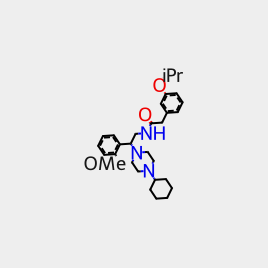 COc1ccccc1C(CNC(=O)Cc1cccc(OC(C)C)c1)N1CCN(C2CCCCC2)CC1